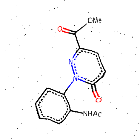 COC(=O)c1ccc(=O)n(-c2ccccc2NC(C)=O)n1